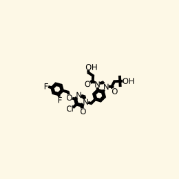 CC(C)(O)CC(=O)N1CN(C(=O)CCO)c2cc(Cn3cnc(OCc4ccc(F)cc4F)c(Cl)c3=O)ccc21